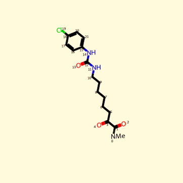 CNC(=O)C(=O)CCCCCCNC(=O)Nc1ccc(Cl)cc1